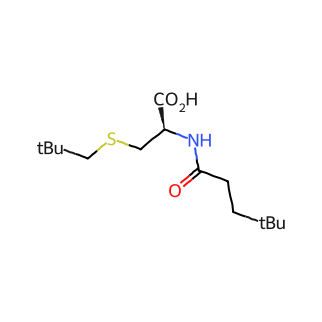 CC(C)(C)CCC(=O)N[C@@H](CSCC(C)(C)C)C(=O)O